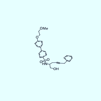 COCCOc1ccc(-c2ccc(S(=O)(=O)NC(CO)CC#CCc3ccccc3)cc2)cc1